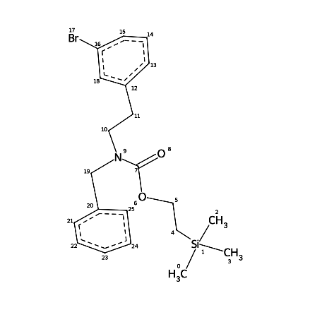 C[Si](C)(C)CCOC(=O)N(CCc1cccc(Br)c1)Cc1ccccc1